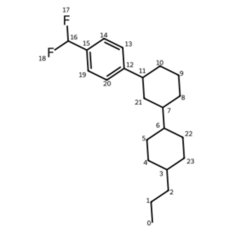 CCCC1CCC(C2CCCC(c3ccc(C(F)F)cc3)C2)CC1